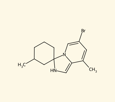 CC1=CC(Br)=CN2C1=CNC21CCCC(C)C1